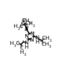 CC(C)CNc1nc(C#C[Si](C)(C)C)nc(NCC(C)C)n1